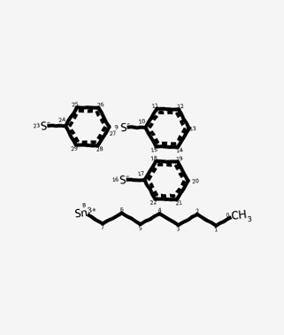 CCCCCCC[CH2][Sn+3].[S-]c1ccccc1.[S-]c1ccccc1.[S-]c1ccccc1